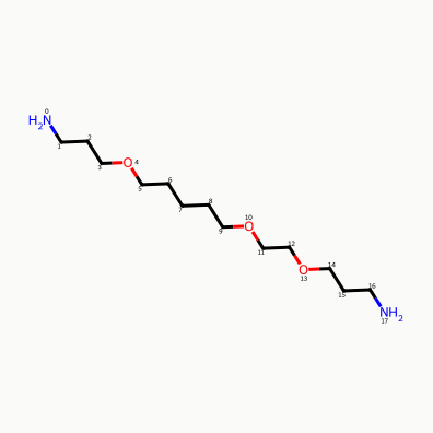 NCCCOCCCCCOCCOCCCN